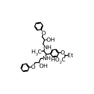 CCC(Oc1ccc(C(NC[C@H](O)COc2ccccc2)C(C)NC[C@H](O)COc2ccccc2)cc1)C(=O)O